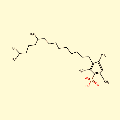 Cc1cc(C)c(S(=O)(=O)O)c(C)c1CCCCCCCCCC(C)CCCC(C)C